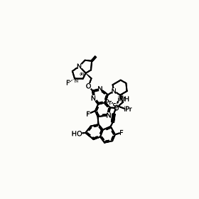 C=C1CN2C[C@@H](F)C[C@@]2(COc2nc3c4c(nc(-c5cc(O)cc6ccc(F)c(C#C[Si](C(C)C)(C(C)C)C(C)C)c56)c(F)c4n2)OC[C@@H]2CCCCN32)C1